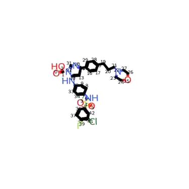 O=CO.O=S(=O)(Nc1ccc(Nc2cc(-c3ccc(CCCN4CCOCC4)cc3)ncn2)cc1)c1ccc(F)c(Cl)c1